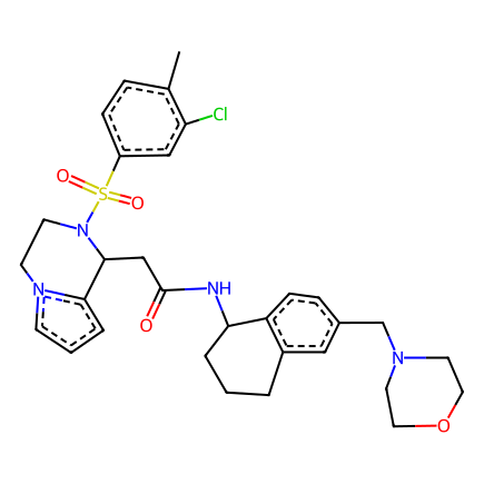 Cc1ccc(S(=O)(=O)N2CCn3cccc3C2CC(=O)NC2CCCc3cc(CN4CCOCC4)ccc32)cc1Cl